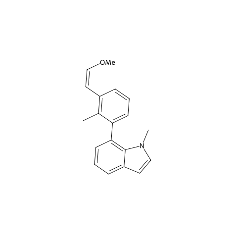 CO/C=C\c1cccc(-c2cccc3ccn(C)c23)c1C